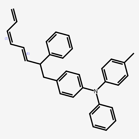 C=C/C=C\C=C\C(Cc1ccc(N(c2ccccc2)c2ccc(C)cc2)cc1)c1ccccc1